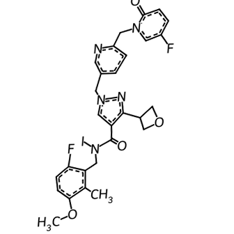 COc1ccc(F)c(CN(I)C(=O)c2cn(Cc3ccc(Cn4cc(F)ccc4=O)nc3)nc2C2COC2)c1C